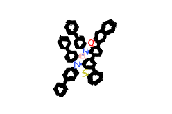 c1ccc(-c2ccc(N3B4c5cc(-c6ccccc6)ccc5N(c5ccc(-c6ccccc6)cc5)c5c4c(cc4c5sc5ccccc54)-c4ccc5c(oc6cc7ccccc7cc65)c43)cc2)cc1